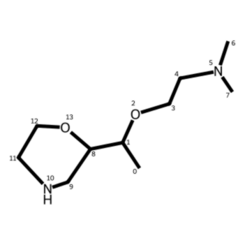 CC(OCCN(C)C)C1CNCCO1